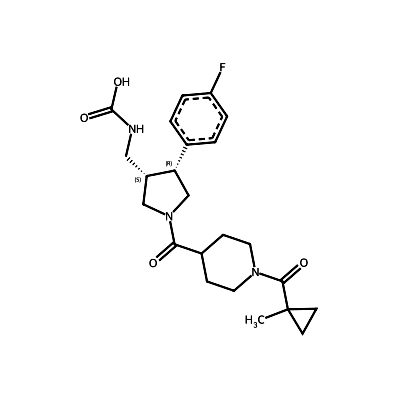 CC1(C(=O)N2CCC(C(=O)N3C[C@H](CNC(=O)O)[C@H](c4ccc(F)cc4)C3)CC2)CC1